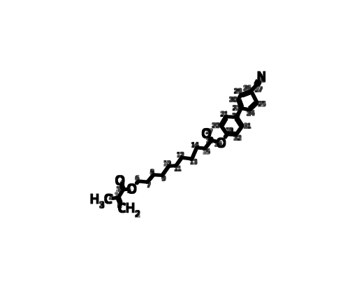 C=C(C)C(=O)OCCCCCCCCCCC(=O)Oc1ccc(-c2ccc(C#N)cc2)cc1